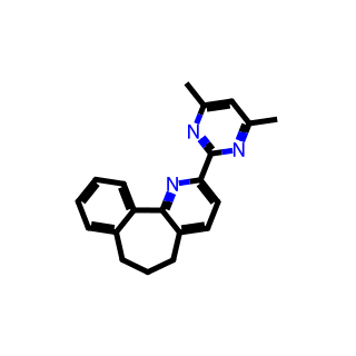 Cc1cc(C)nc(-c2ccc3c(n2)-c2ccccc2CCC3)n1